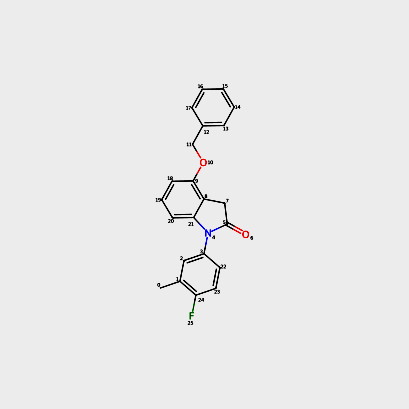 Cc1cc(N2C(=O)Cc3c(OCc4ccccc4)cccc32)ccc1F